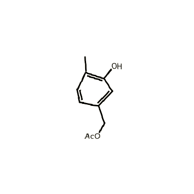 CC(=O)OCc1ccc(C)c(O)c1